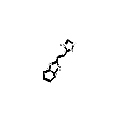 C(=C\c1nc2ccccc2[nH]1)/c1ncsn1